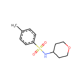 Cc1ccc(S(=O)(=O)NC2CCOCC2)cc1